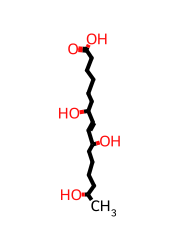 CC(O)CCCCC(O)/C=C/C(O)CCCCCC(=O)O